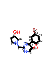 O[C@H]1CCN(Cc2ncc3oc4ccc(Br)cc4c3n2)C1